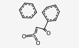 O=C(C=S(=O)=O)c1ccccc1.c1ccccc1